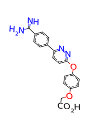 N=C(N)c1ccc(-c2ccc(Oc3ccc(OCC(=O)O)cc3)nn2)cc1